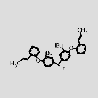 CC=Cc1ccccc1Oc1ccc(C(CC)c2ccc(Oc3ccccc3C=CC)c(C(C)CC)c2)cc1C(C)CC